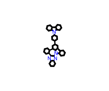 c1ccc2c(c1)-c1nc3ccccc3nc1-n1c3ccccc3c3cc(-c4ccc(-n5c6ccccc6c6ccccc65)cc4)cc-2c31